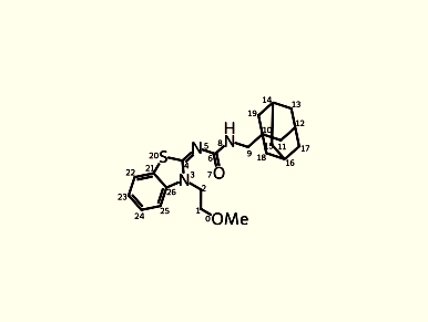 COCCn1c(=NC(=O)NCC23CC4CC(CC(C4)C2)C3)sc2ccccc21